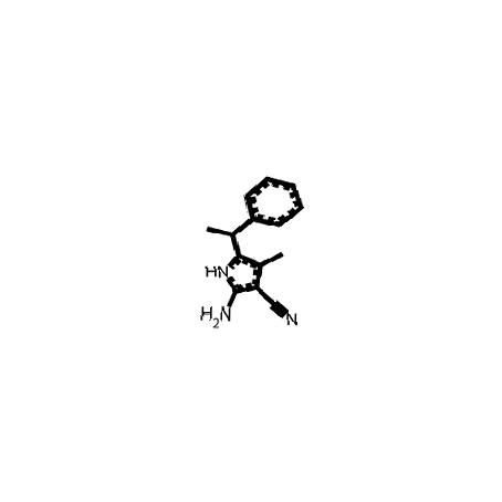 Cc1c(C(C)c2ccccc2)[nH]c(N)c1C#N